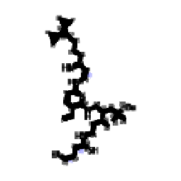 C=Cc1ccc(N/C=C\C(=N)CCCC2C3(CC3)C23CC3)nc1NCC(CC(C)(C)CCCC)C(C)CCN/C(S)=C/C=C\CC